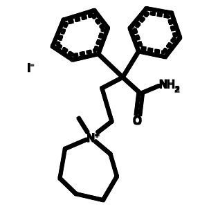 C[N+]1(CCC(C(N)=O)(c2ccccc2)c2ccccc2)CCCCCC1.[I-]